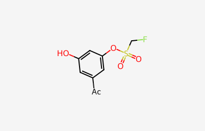 CC(=O)c1cc(O)cc(OS(=O)(=O)CF)c1